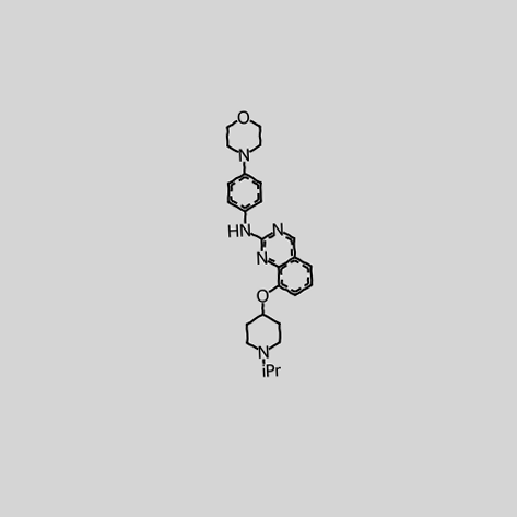 CC(C)N1CCC(Oc2cccc3cnc(Nc4ccc(N5CCOCC5)cc4)nc23)CC1